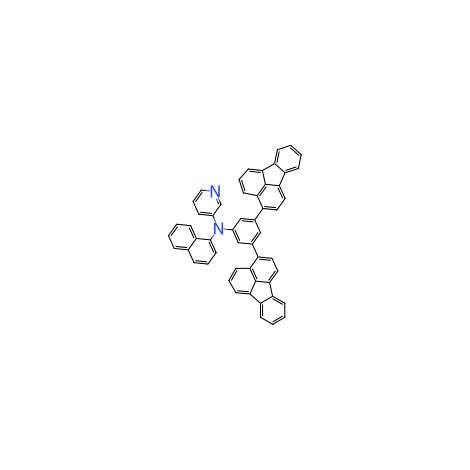 c1cncc(N(c2cc(-c3ccc4c5c(cccc35)-c3ccccc3-4)cc(-c3ccc4c5c(cccc35)-c3ccccc3-4)c2)c2cccc3ccccc23)c1